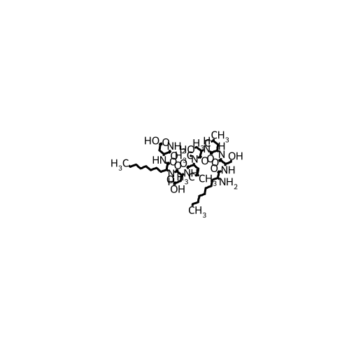 CCCCCCCCC(N)C(=O)NC(CO)C(=O)NC(CC(C)C)C(=O)NC(CO)C(=O)N(C)C(CC(C)C)C(=O)NC(CC(=O)O)C(=O)NC(CCCCCCCC)C(=O)NC(CC(=O)O)C(N)=O